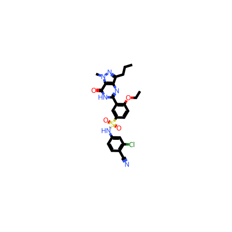 CCCc1nn(C)c2c(=O)[nH]c(-c3cc(S(=O)(=O)Nc4ccc(C#N)c(Cl)c4)ccc3OCC)nc12